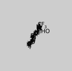 Cc1cc(C(F)(F)F)nn1CC(C=O)N1CCC(c2nc(C3=NOC(c4cccc(I)c4)C3)cs2)CC1